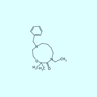 CCN1CCCCN(Cc2ccccc2)CCOC(C)(C)C1=O